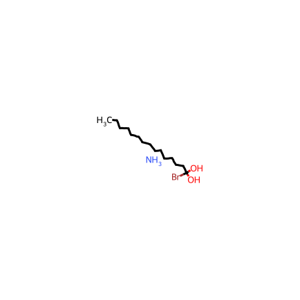 CCCCCCCCCCCCCCC(O)(O)Br.N